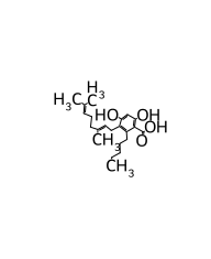 CCCCCc1c(C/C=C(\C)CCC=C(C)C)c(O)cc(O)c1C(=O)O